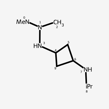 CNN(C)NC1CC(NC(C)C)C1